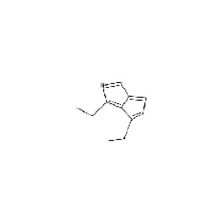 CCC1=CC=C2[C]=NC(CC)=C21